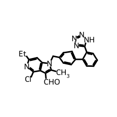 CCc1cc2c(c(Cl)n1)c(C=O)c(C)n2Cc1ccc(-c2ccccc2-c2nnn[nH]2)cc1